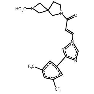 O=C(O)N1CC2(CCN(C(=O)/C=C/n3cnc(-c4cc(C(F)(F)F)cc(C(F)(F)F)c4)n3)C2)C1